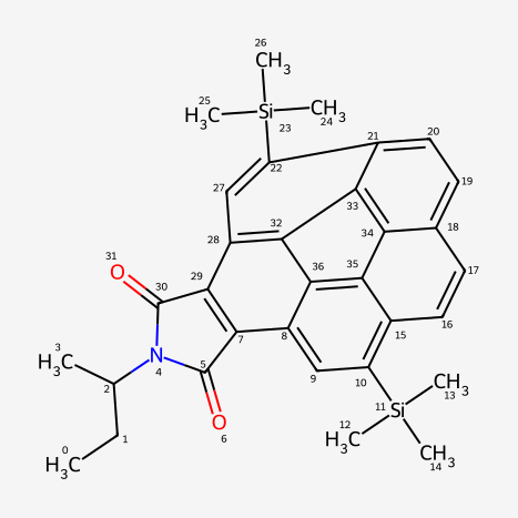 CCC(C)n1c(=O)c2c3cc([Si](C)(C)C)c4ccc5ccc6c([Si](C)(C)C)cc(c2c1=O)c1c6c5c4c31